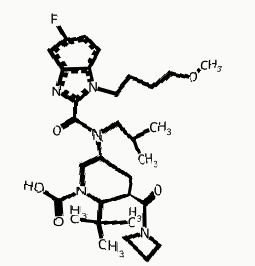 COCCCCn1c(C(=O)N(CC(C)C)[C@H]2C[C@@H](C(=O)N3CCC3)C(C(C)(C)C)N(C(=O)O)C2)nc2cc(F)ccc21